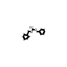 C[CH]C(OCc1ccccc1)OCc1ccccc1